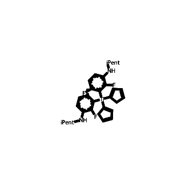 CCCC(C)Nc1ccc(F)[c]([Ti]([C]2=CC=CC2)([C]2=CC=CC2)[c]2c(F)ccc(NC(C)CCC)c2F)c1F